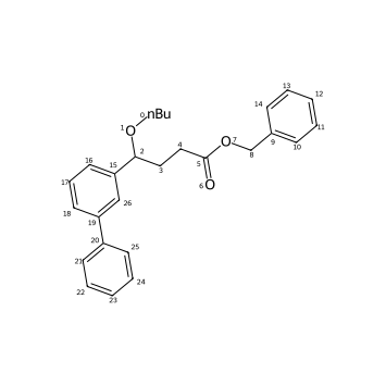 CCCCOC(CCC(=O)OCc1ccccc1)c1cccc(-c2ccccc2)c1